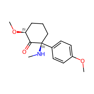 CN[C@]1(c2ccc(OC)cc2)CCC[C@H](OC)C1=O